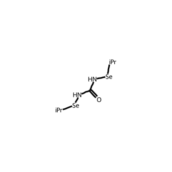 CC(C)[Se]NC(=O)N[Se]C(C)C